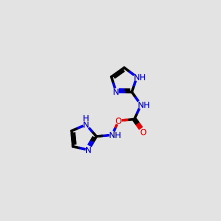 O=C(Nc1ncc[nH]1)ONc1ncc[nH]1